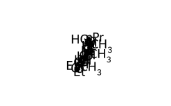 CCC[C@H]1O[C@@H]2[C@H](C[C@H]1O)O[C@@]1(C[C@@H]2C)C[C@H](C)[C@@H]2O[C@]3(C[C@@H]2O1)C[C@H]1O[C@H]2[C@H](C)[C@@H](OC(=O)CC)[C@H](CC)O[C@H]2C[C@H]1O3